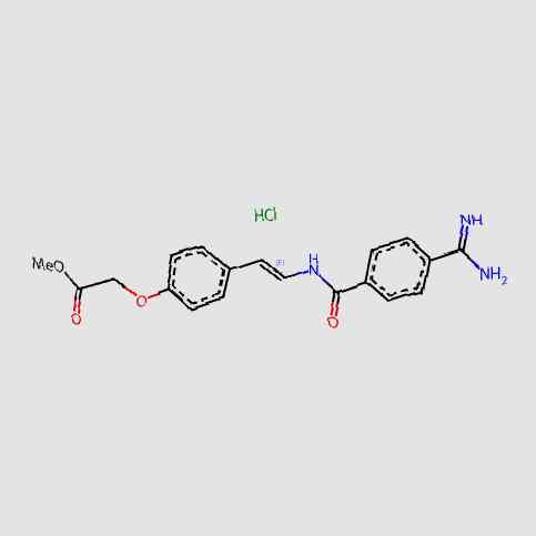 COC(=O)COc1ccc(/C=C/NC(=O)c2ccc(C(=N)N)cc2)cc1.Cl